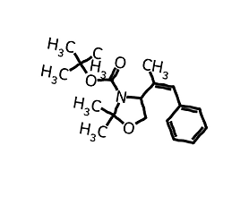 CC(=Cc1ccccc1)C1COC(C)(C)N1C(=O)OC(C)(C)C